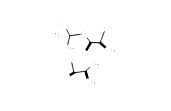 C=C(C)C(=O)OC(C)O.C=C(C)C(=O)[O-].[Na+]